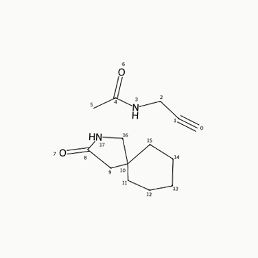 C#CCNC(C)=O.O=C1CC2(CCCCC2)CN1